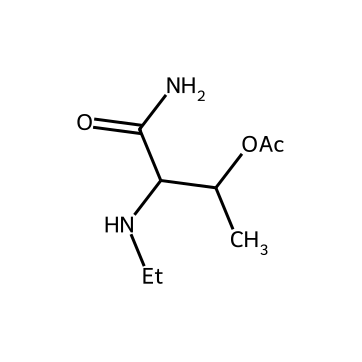 CCNC(C(N)=O)C(C)OC(C)=O